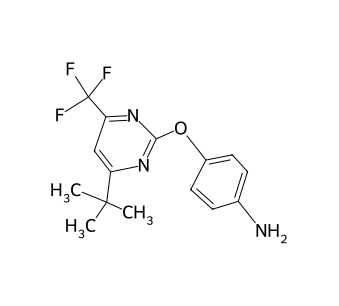 CC(C)(C)c1cc(C(F)(F)F)nc(Oc2ccc(N)cc2)n1